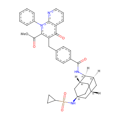 COC(=O)c1c(Cc2ccc(C(=O)N[C@@H]3[C@@H]4C[C@@H]5C[C@H]3C[C@](NS(=O)(=O)C3CC3)(C5)C4)cc2)c(=O)c2cccnc2n1-c1ccccc1